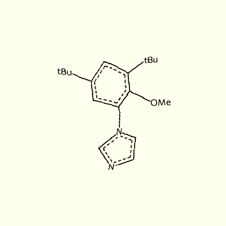 COc1c(-n2ccnc2)cc(C(C)(C)C)cc1C(C)(C)C